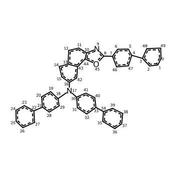 c1ccc(-c2ccc(-c3nc4ccc5ccc(N(c6ccc(-c7ccccc7)cc6)c6ccc(-c7ccccc7)cc6)cc5c4o3)cc2)cc1